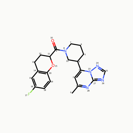 Cc1cc(C2CCCN(C(=O)C3CCc4cc(F)ccc4O3)C2)n2ncnc2n1